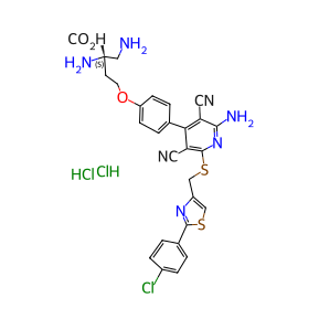 Cl.Cl.N#Cc1c(N)nc(SCc2csc(-c3ccc(Cl)cc3)n2)c(C#N)c1-c1ccc(OCC[C@](N)(CN)C(=O)O)cc1